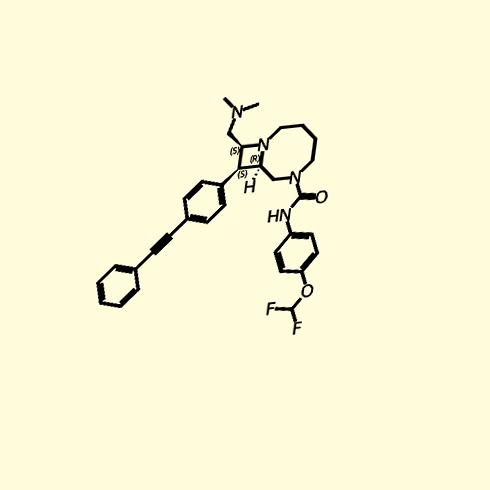 CN(C)C[C@@H]1[C@H](c2ccc(C#Cc3ccccc3)cc2)[C@@H]2CN(C(=O)Nc3ccc(OC(F)F)cc3)CCCCN12